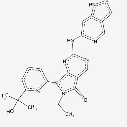 CCn1c(=O)c2cnc(Nc3cc4[nH]ncc4cn3)nc2n1-c1cccc(C(C)(C)O)n1